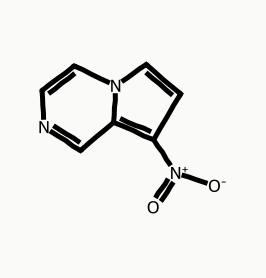 O=[N+]([O-])c1ccn2ccncc12